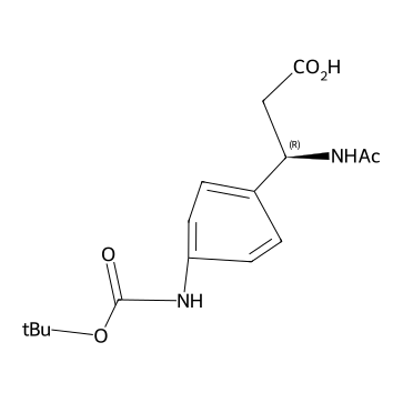 CC(=O)N[C@H](CC(=O)O)c1ccc(NC(=O)OC(C)(C)C)cc1